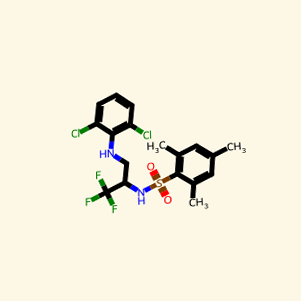 Cc1cc(C)c(S(=O)(=O)NC(CNc2c(Cl)cccc2Cl)C(F)(F)F)c(C)c1